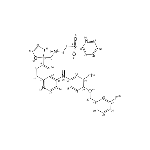 O=S(=O)(CCNCC1(c2ccc3ncnc(Nc4ccc(OCc5cccc(F)c5)c(Cl)c4)c3c2)CC=CO1)c1ccccn1